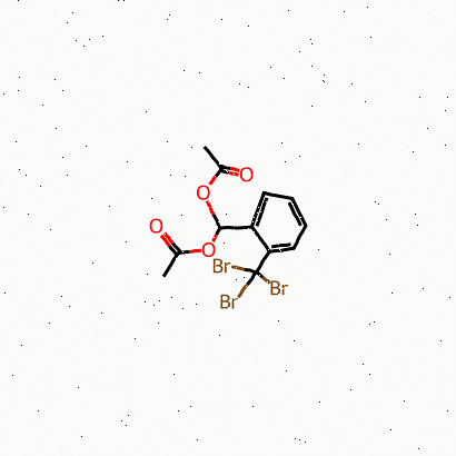 CC(=O)OC(OC(C)=O)c1ccccc1C(Br)(Br)Br